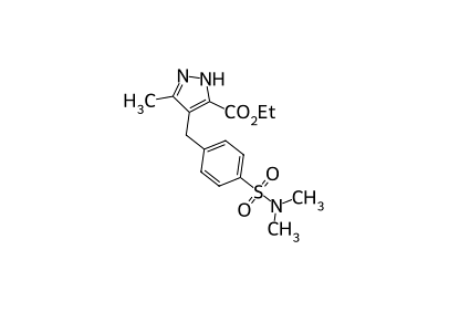 CCOC(=O)c1[nH]nc(C)c1Cc1ccc(S(=O)(=O)N(C)C)cc1